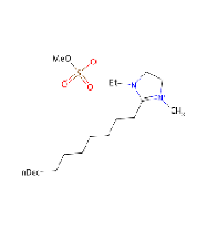 CCCCCCCCCCCCCCCCCC1=[N+](C)CCN1CC.COS(=O)(=O)[O-]